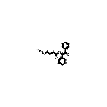 [N-]=[N+]=NCCCC(=O)OC(C(=O)c1ccccc1)c1ccccc1